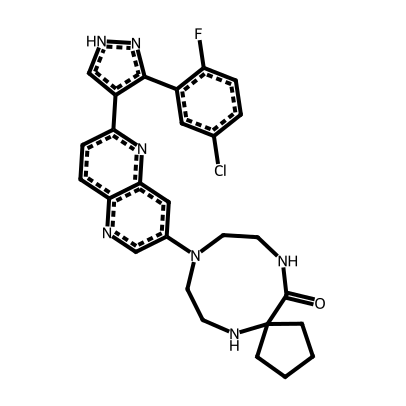 O=C1NCCN(c2cnc3ccc(-c4c[nH]nc4-c4cc(Cl)ccc4F)nc3c2)CCNC12CCCC2